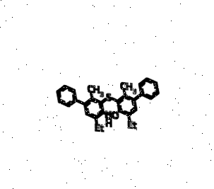 CCc1cc(-c2ccccc2)c(C)c(Sc2c(C)c(-c3ccccc3)cc(CC)c2O)c1O